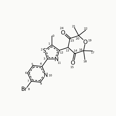 Cc1sc(-c2ccc(Br)cn2)nc1C1C(=O)C(C)(C)OC(C)(C)C1=O